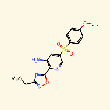 COCc1noc(-c2ncc(S(=O)(=O)c3ccc(OC(F)(F)F)cc3)cc2N)n1